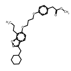 CCCc1c(OCCCOc2ccc(CC(=O)OC)cc2)ccc2c(CC3CCCCC3)noc12